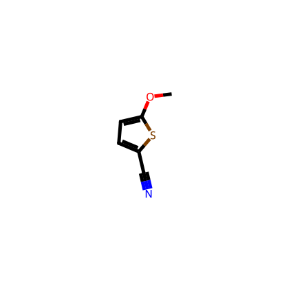 COc1ccc(C#N)s1